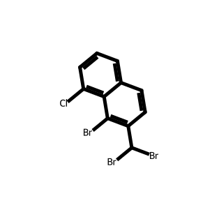 Clc1cccc2ccc(C(Br)Br)c(Br)c12